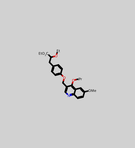 CCOC(=O)C(Cc1ccc(OCc2cnc3ccc(OC)cc3c2OC(C)C)cc1)OCC